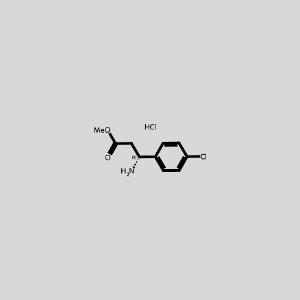 COC(=O)C[C@@H](N)c1ccc(Cl)cc1.Cl